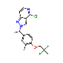 Cc1cc(C(C)n2cc3c(Cl)nccc3n2)ccc1OCC(C)(F)F